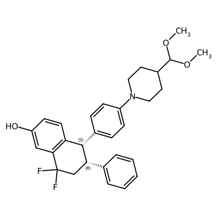 COC(OC)C1CCN(c2ccc([C@H]3c4ccc(O)cc4C(F)(F)C[C@H]3c3ccccc3)cc2)CC1